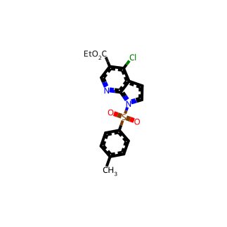 CCOC(=O)c1cnc2c(ccn2S(=O)(=O)c2ccc(C)cc2)c1Cl